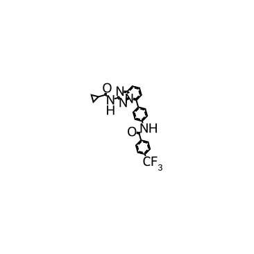 O=C(Nc1ccc(-c2cccc3nc(NC(=O)C4CC4)nn23)cc1)c1ccc(C(F)(F)F)cc1